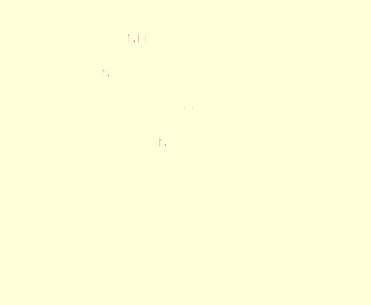 Nc1cc(C(=O)NCCC(c2ccccc2)c2ccccc2)ccn1